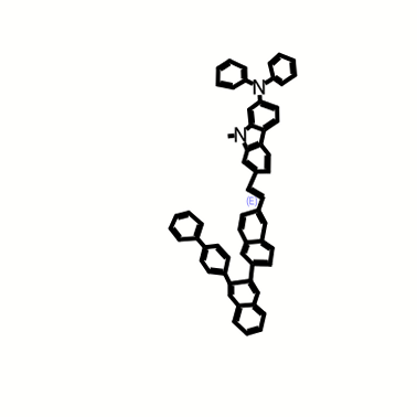 Cn1c2cc(/C=C/c3ccc4cc(-c5cc6ccccc6cc5-c5ccc(-c6ccccc6)cc5)ccc4c3)ccc2c2ccc(N(c3ccccc3)c3ccccc3)cc21